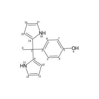 CC(c1ccc(O)cc1)(c1ccc[nH]1)c1ccc[nH]1